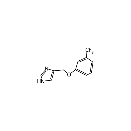 FC(F)(F)c1cccc(OCc2c[nH]cn2)c1